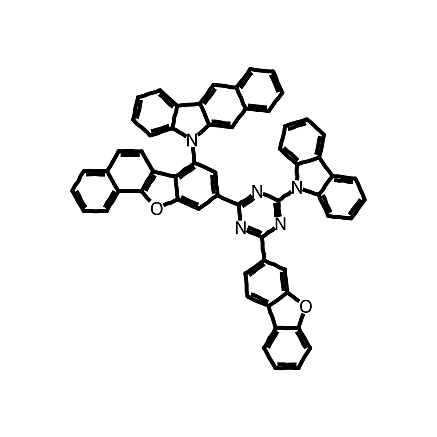 c1ccc2cc3c(cc2c1)c1ccccc1n3-c1cc(-c2nc(-c3ccc4c(c3)oc3ccccc34)nc(-n3c4ccccc4c4ccccc43)n2)cc2oc3c4ccccc4ccc3c12